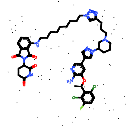 C[C@@H](Oc1cc(-c2cnn(C3CCCN(CCCc4cn(CCCCCCCCCNc5cccc6c5C(=O)N(C5CCC(=O)NC5=O)C6=O)nn4)C3)c2)cnc1N)c1c(Cl)ccc(F)c1Cl